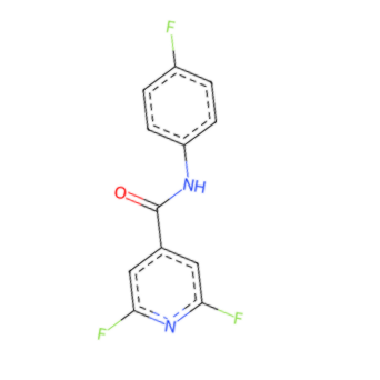 O=C(Nc1ccc(F)cc1)c1cc(F)nc(F)c1